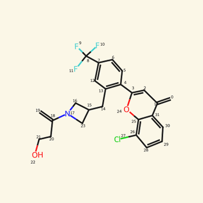 C=C1C=C(c2ccc(C(F)(F)F)cc2CC2CN(C(=C)CCO)C2)Oc2c(Cl)cccc21